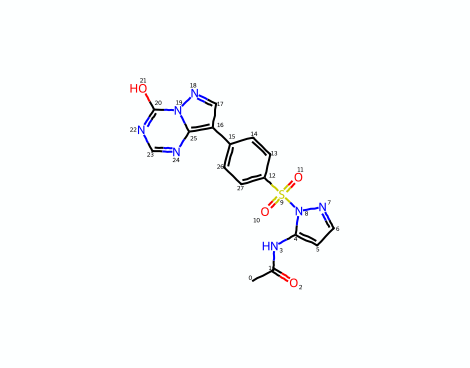 CC(=O)Nc1ccnn1S(=O)(=O)c1ccc(-c2cnn3c(O)ncnc23)cc1